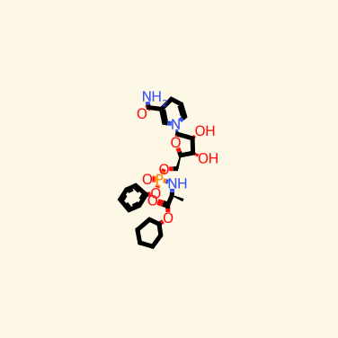 C[C@H](NP(=O)(OC[C@H]1O[C@@H](N2C=CCC(C(N)=O)=C2)[C@@H](O)[C@H]1O)Oc1ccccc1)C(=O)OC1CCCCC1